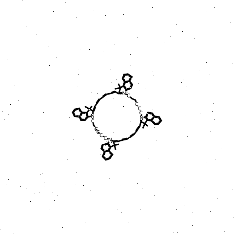 CC1(C)C2=CC=CC=CC=CC3=[N+](CCCCCC[N+]4=C(C=CC=CC=CC=C5N(CCCCCCN2c2ccc6ccccc6c21)c1ccc2ccccc2c1C5(C)C)C(C)(C)c1c4ccc2ccccc12)c1ccc2ccccc2c1C3(C)C